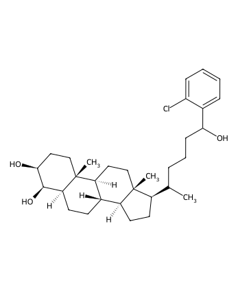 CC(CCCC(O)c1ccccc1Cl)[C@H]1CC[C@H]2[C@@H]3CC[C@H]4[C@@H](O)[C@@H](O)CC[C@]4(C)[C@H]3CC[C@]12C